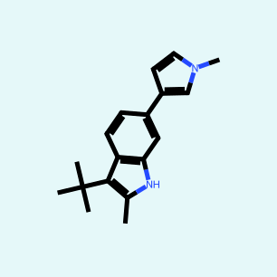 Cc1[nH]c2cc(-c3ccn(C)c3)ccc2c1C(C)(C)C